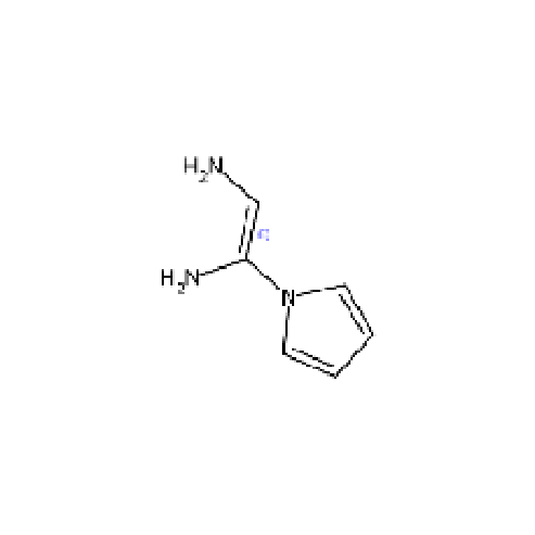 N/C=C(\N)n1cccc1